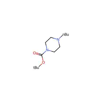 CCCCN1CCN(C(=O)OC(C)(C)C)CC1